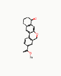 C=C(OC(C)C)c1ccc2c(c1)COc1cc3c(cc1-2)CCCC3=O